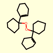 C1=C(C2(OOC3(C4=CCCCC4)CCCCC3)CCCCC2)CCCC1